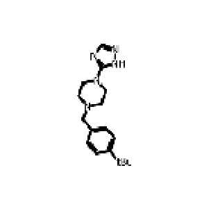 CC(C)(C)c1ccc(CN2CCN(c3ncn[nH]3)CC2)cc1